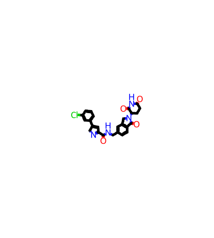 O=C1CCC(N2Cc3cc(CNC(=O)C4=NCC(c5cccc(Cl)c5)=C4)ccc3C2=O)C(=O)N1